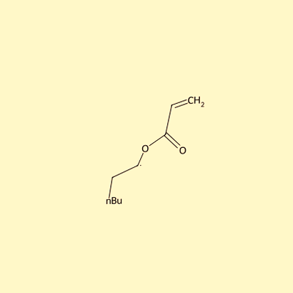 C=CC(=O)O[CH]CCCCC